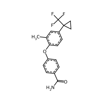 Cc1cc(C2(C(F)(F)F)CC2)ccc1Oc1ccc(C(N)=O)cc1